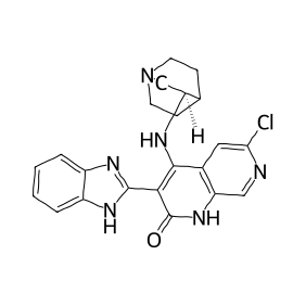 O=c1[nH]c2cnc(Cl)cc2c(N[C@H]2CN3CCC2CC3)c1-c1nc2ccccc2[nH]1